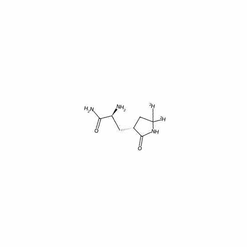 [2H]C1([2H])C[C@@H](C[C@H](N)C(N)=O)C(=O)N1